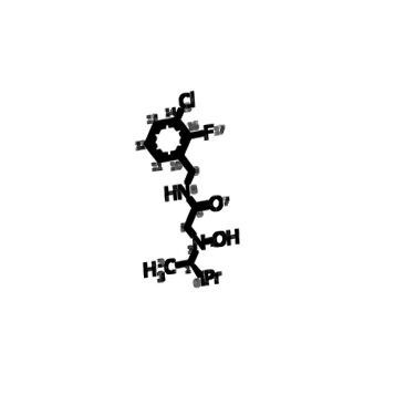 CC(C)[C@@H](C)N(O)CC(=O)NCc1cccc(Cl)c1F